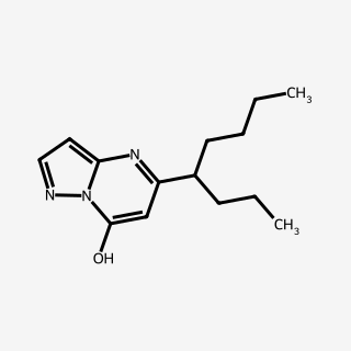 CCCCC(CCC)c1cc(O)n2nccc2n1